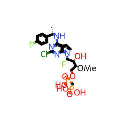 CO[C@H](COP(=O)(O)CP(=O)(O)O)[C@@H](O)[C@H](F)n1ccc2c(N[C@@H](C)c3ccc(F)cc3)nc(Cl)nc21